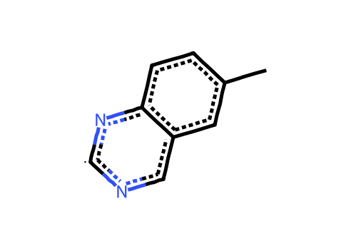 Cc1ccc2n[c]ncc2c1